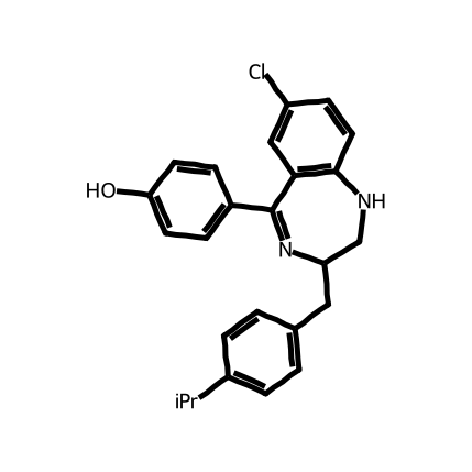 CC(C)c1ccc(CC2CNc3ccc(Cl)cc3C(c3ccc(O)cc3)=N2)cc1